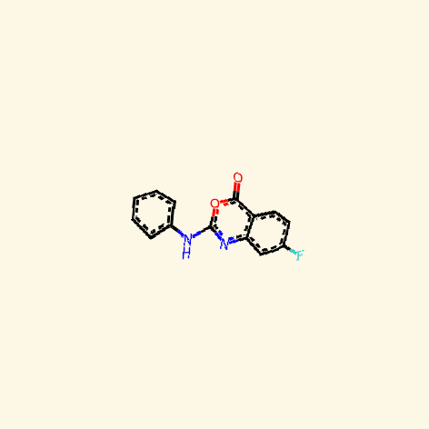 O=c1oc(Nc2ccccc2)nc2cc(F)ccc12